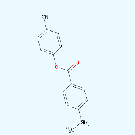 C[SiH2]c1ccc(C(=O)Oc2ccc(C#N)cc2)cc1